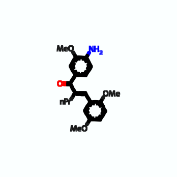 CCC/C(=C\c1cc(OC)ccc1OC)C(=O)c1ccc(N)c(OC)c1